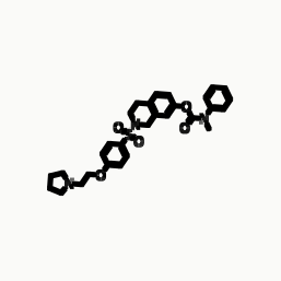 CN(C(=O)Oc1ccc2c(c1)CN(S(=O)(=O)c1ccc(OCCN3CCCC3)cc1)CC2)c1ccccc1